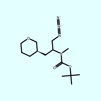 CN(C(=O)OC(C)(C)C)C(CN=[N+]=[N-])C[C@H]1CCCOC1